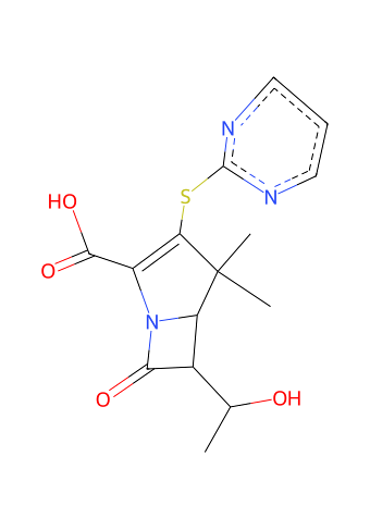 CC(O)C1C(=O)N2C(C(=O)O)=C(Sc3ncccn3)C(C)(C)C12